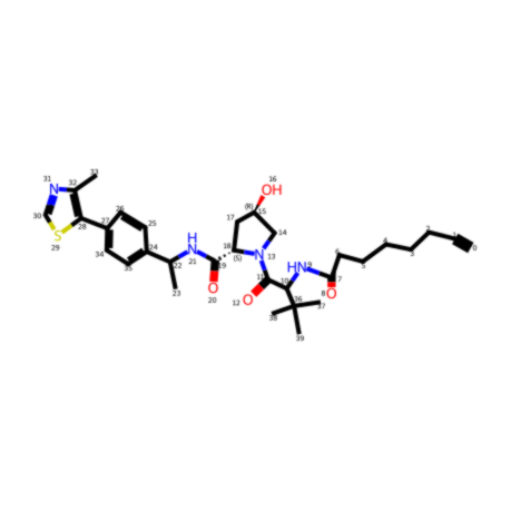 C#CCCCCCC(=O)NC(C(=O)N1C[C@H](O)C[C@H]1C(=O)NC(C)c1ccc(-c2scnc2C)cc1)C(C)(C)C